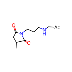 CC(=O)CNCCCN1C(=O)CC(C)C1=O